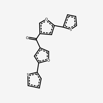 O=C(c1coc(-c2cccs2)c1)c1coc(-c2cccs2)c1